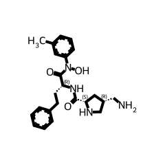 Cc1cccc(N(O)C(=O)[C@@H](CCc2ccccc2)NC(=O)[C@@H]2C[C@H](CN)CN2)c1